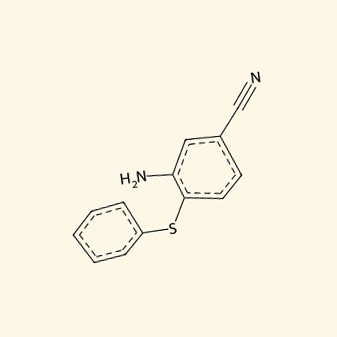 N#Cc1ccc(Sc2ccccc2)c(N)c1